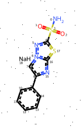 NS(=O)(=O)c1nn2cc(-c3ccccc3)nc2s1.[NaH]